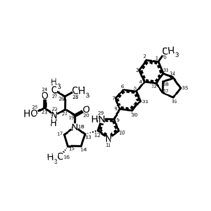 Cc1ccc(-c2ccc(-c3cnc([C@@H]4C[C@H](C)CN4C(=O)C(NC(=O)O)C(C)C)[nH]3)cc2)c2c1C1CCC2C1